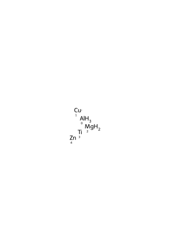 [AlH3].[Cu].[MgH2].[Ti].[Zn]